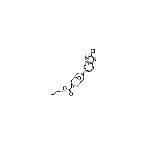 CCCCOC(=O)N1CC2CN(c3ccc4nc(Cl)nn4c3)CC(C1)O2